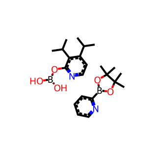 CC(C)c1ccnc(OB(O)O)c1C(C)C.CC1(C)OB(c2ccccn2)OC1(C)C